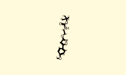 COc1ccc(-c2cc(OCCNC(=O)OC(C)(C)C)no2)cc1